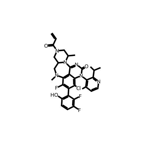 C=CC(=O)N1CC(C)N2c3nc(=O)n(-c4c(C)ccnc4C(C)C)c4c(Cl)c(-c5c(O)ccc(F)c5F)c(F)c(c34)N(C)CC2C1